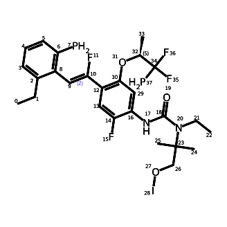 CCc1cccc(P)c1/C=C(\F)c1cc(F)c(NC(=O)N(CC)C(C)(C)COI)cc1O[C@@H](C)C(F)(F)P